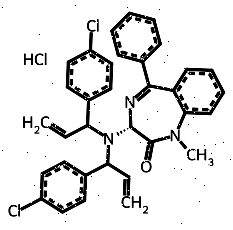 C=CC(c1ccc(Cl)cc1)N(C(C=C)c1ccc(Cl)cc1)[C@@H]1N=C(c2ccccc2)c2ccccc2N(C)C1=O.Cl